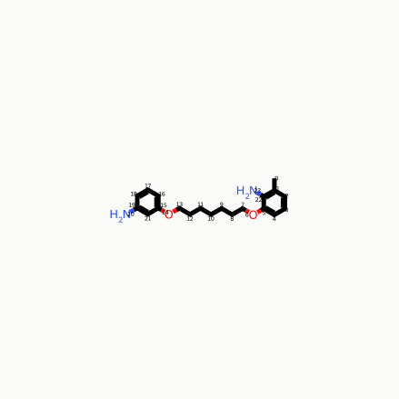 Cc1cccc(OCCCCCCCOc2cccc(N)c2)c1N